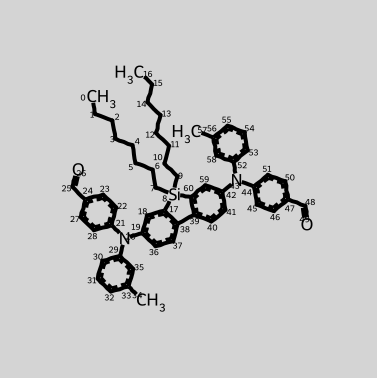 CCCCCCCC[Si]1(CCCCCCCC)c2cc(N(c3ccc(C=O)cc3)c3cccc(C)c3)ccc2-c2ccc(N(c3ccc(C=O)cc3)c3cccc(C)c3)cc21